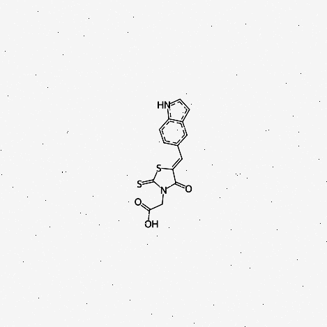 O=C(O)CN1C(=O)C(=Cc2ccc3[nH]ccc3c2)SC1=S